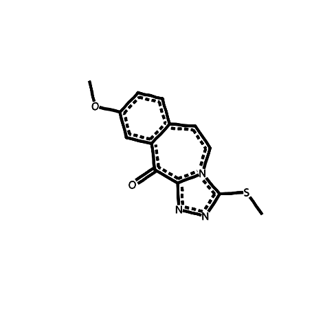 COc1ccc2ccn3c(SC)nnc3c(=O)c2c1